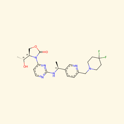 C[C@H](Nc1nccc(N2C(=O)OC[C@@H]2[C@@H](C)O)n1)c1ccc(CN2CCC(F)(F)CC2)nc1